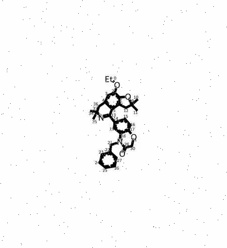 CCOc1cc2c(c3c1OC(C)(C)C3)C(c1ccc3c(c1)N(Cc1ccccc1)C(=O)CO3)=NC(C)(C)C2